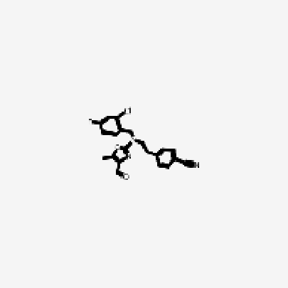 Cc1oc(N(CCc2ccc(C#N)cc2)Cc2ccc(F)cc2Cl)nc1C=O